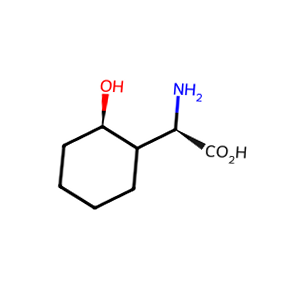 N[C@@H](C(=O)O)C1CCCC[C@H]1O